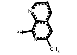 [2H]c1nc(C)cc2cccnc12